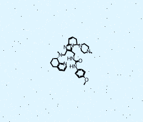 COc1ccc(NC(=O)NCc2c(CN(C)[C@H]3CCCc4cccnc43)nc3n2C(N2CCN(C)CC2)CC=C3)cc1